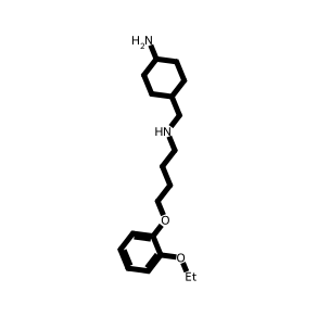 CCOc1ccccc1OCCCCNCC1CCC(N)CC1